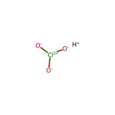 [H+].[O-][Cl+2]([O-])[O-]